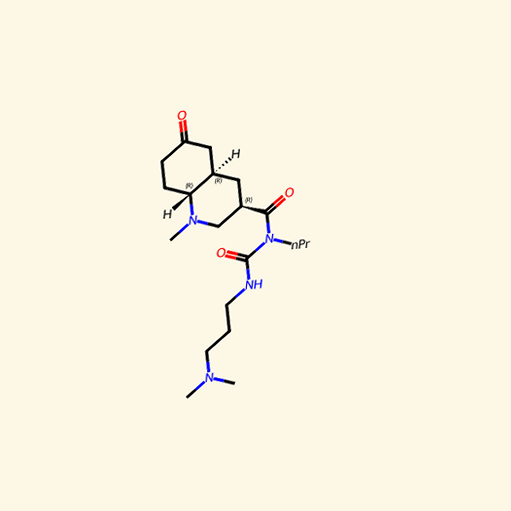 CCCN(C(=O)NCCCN(C)C)C(=O)[C@@H]1C[C@@H]2CC(=O)CC[C@H]2N(C)C1